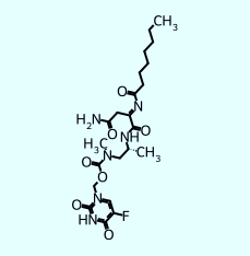 CCCCCCCC(=O)/N=C(\CC(N)=O)C(=O)N[C@H](C)CN(C)C(=O)OCn1cc(F)c(=O)[nH]c1=O